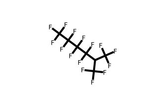 FC(F)(F)[C](C(F)(F)F)C(F)(F)C(F)(F)C(F)(F)C(F)(F)F